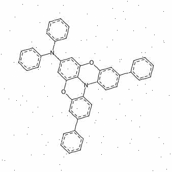 c1ccc(-c2ccc3c(c2)Oc2cc(N(c4ccccc4)c4ccccc4)cc4c2N3c2ccc(-c3ccccc3)cc2O4)cc1